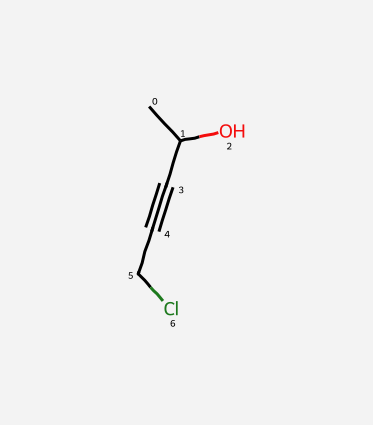 CC(O)C#CCCl